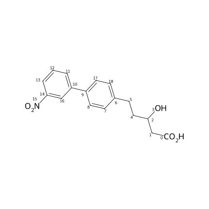 O=C(O)CC(O)CCc1ccc(-c2cccc([N+](=O)[O-])c2)cc1